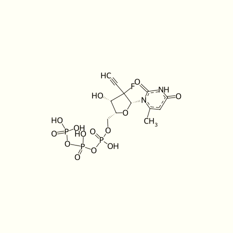 C#CC1(F)[C@@H](O)[C@@H](COP(=O)(O)OP(=O)(O)OP(=O)(O)O)O[C@H]1n1c(C)cc(=O)[nH]c1=O